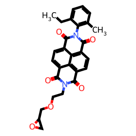 CCc1cccc(C)c1N1C(=O)c2ccc3c4c(ccc(c24)C1=O)C(=O)N(CCOCC1CO1)C3=O